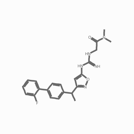 CC(c1ccc(-c2ccccc2F)cc1)c1cc(NC(=N)NCC(=O)N(C)C)on1